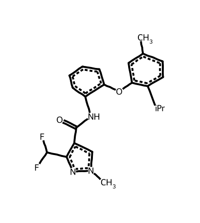 Cc1ccc(C(C)C)c(Oc2ccccc2NC(=O)c2cn(C)nc2C(F)F)c1